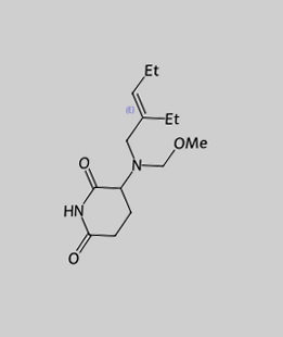 CC/C=C(\CC)CN(COC)C1CCC(=O)NC1=O